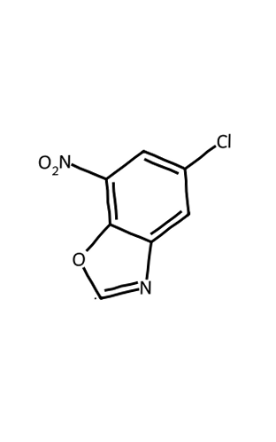 O=[N+]([O-])c1cc(Cl)cc2n[c]oc12